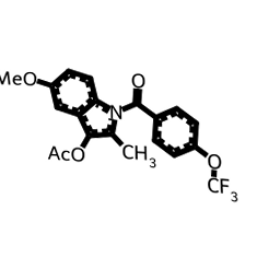 COc1ccc2c(c1)c(OC(C)=O)c(C)n2C(=O)c1ccc(OC(F)(F)F)cc1